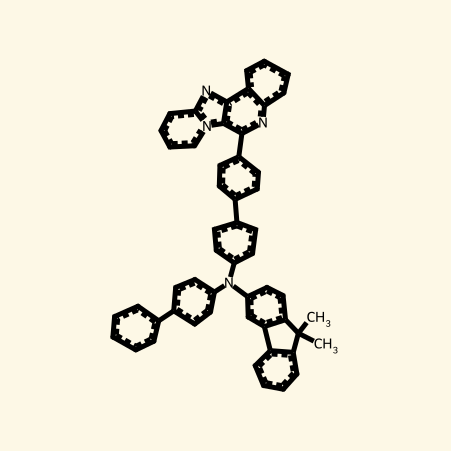 CC1(C)c2ccccc2-c2cc(N(c3ccc(-c4ccccc4)cc3)c3ccc(-c4ccc(-c5nc6ccccc6c6nc7ccccn7c56)cc4)cc3)ccc21